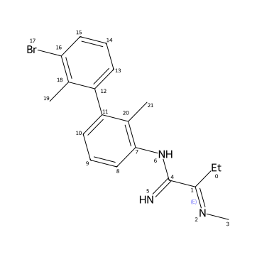 CC/C(=N\C)C(=N)Nc1cccc(-c2cccc(Br)c2C)c1C